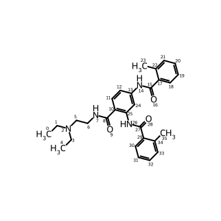 CCN(CC)CCNC(=O)c1ccc(NC(=O)c2ccccc2C)cc1NC(=O)c1ccccc1C